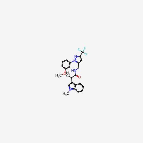 COc1cccc(-n2nc(C(F)(F)F)cc2CNC(=O)C(C)c2cn(C)c3ccccc23)c1